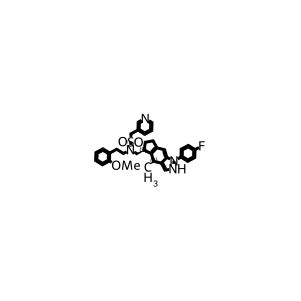 COc1ccccc1CCN(C[C@H]1CCC2=C1[C@@H](C)C1=CNN(c3ccc(F)cc3)C1=C2)S(=O)(=O)Cc1cccnc1